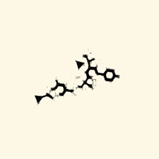 NC(=O)[C@@]1(C2CC2)COc2c1cc([C@@](O)(CNC(=O)c1cc(Cl)c3nc(C4CC4)cn3c1)C(F)(F)F)nc2-c1ccc(F)cc1